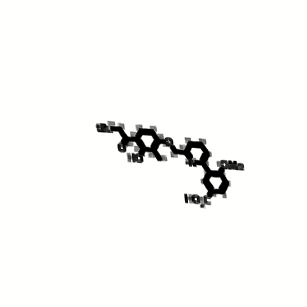 COc1ccc(C(=O)O)cc1-c1cccc(COc2ccc(C(=O)CC(C)(C)C)c(O)c2C)n1